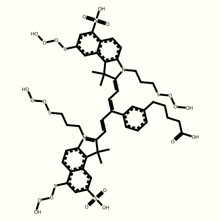 CC1(C)C(/C=C/C(=C/C=C2/N(CCCSOOO)c3ccc4c(S(=O)(=O)O)cc(SOOO)cc4c3C2(C)C)c2cccc(CCCCC(=O)O)c2)=[N+](CCCSOOO)c2ccc3c(SOOO)cc(S(=O)(=O)O)cc3c21